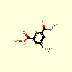 CCCNC(=O)c1cc(C(=O)OCC)cc(C(=O)OCCC)c1